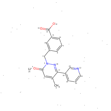 Cc1cc(=O)n(Cc2cccc(C(=O)[O-])c2)nc1-c1cccnc1.[Li+]